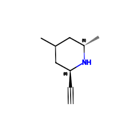 C#C[C@H]1CC(C)C[C@H](C)N1